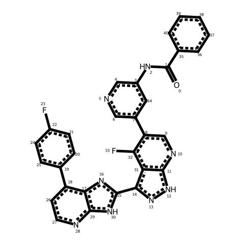 O=C(Nc1cncc(-c2cnc3[nH]nc(-c4nc5c(-c6ccc(F)cc6)ccnc5[nH]4)c3c2F)c1)c1ccccc1